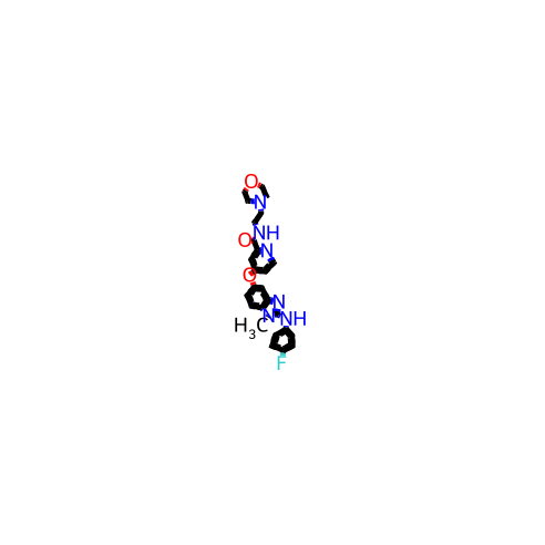 Cn1c(Nc2ccc(F)cc2)nc2cc(Oc3ccnc(C(=O)NCCN4CCOCC4)c3)ccc21